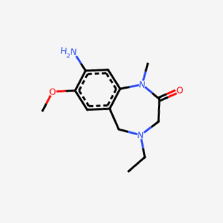 CCN1CC(=O)N(C)c2cc(N)c(OC)cc2C1